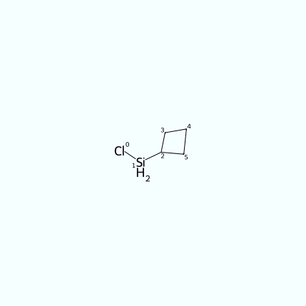 Cl[SiH2]C1CCC1